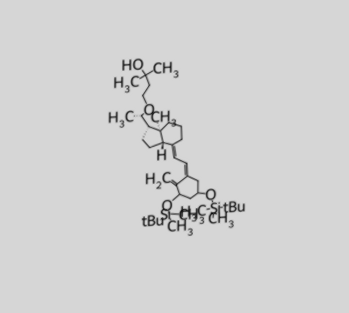 C=C1/C(=C\C=C2/CCC[C@]3(C)[C@@H]([C@H](C)OCCC(C)(C)O)CC[C@@H]23)CC(O[Si](C)(C)C(C)(C)C)CC1O[Si](C)(C)C(C)(C)C